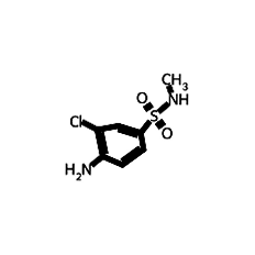 CNS(=O)(=O)c1ccc(N)c(Cl)c1